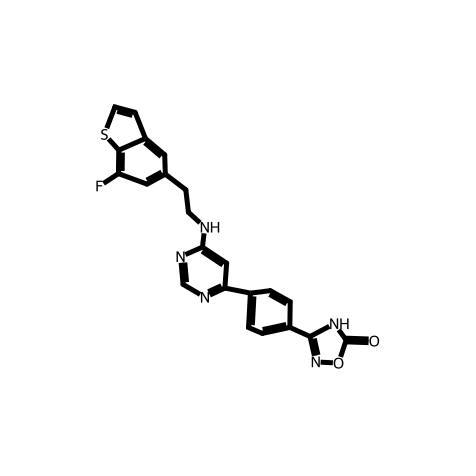 O=c1[nH]c(-c2ccc(-c3cc(NCCc4cc(F)c5sccc5c4)ncn3)cc2)no1